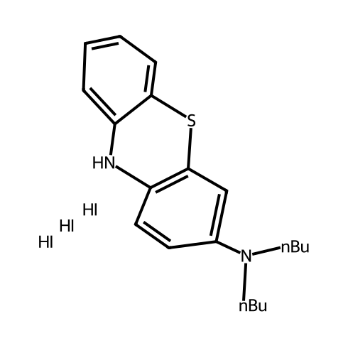 CCCCN(CCCC)c1ccc2c(c1)Sc1ccccc1N2.I.I.I